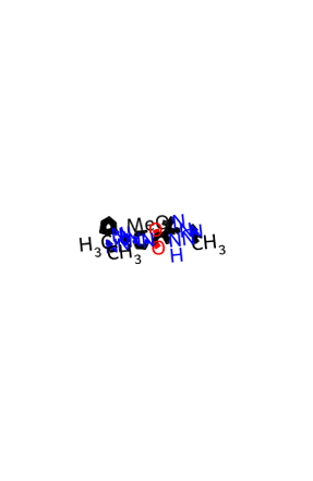 COc1cnc(-n2cnc(C)n2)c2[nH]cc(C(=O)C(=O)N3CCN(c4nc(N(C)C)n(-c5ccccc5)n4)CC3)c12